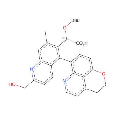 Cc1cc2nc(CO)ccc2c(-c2ccc3c4c(ccnc24)CCO3)c1[C@H](OC(C)(C)C)C(=O)O